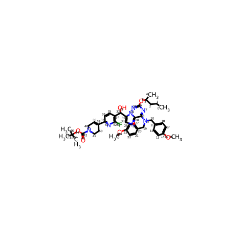 CCCC(C)Oc1nc(N(Cc2ccc(OC)cc2)Cc2ccc(OC)cc2)c2ncc(C(O)c3ccc(C4=CCN(C(=O)OC(C)(C)C)CC4)nc3F)n2n1